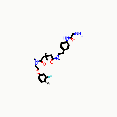 CC(=O)c1ccc(OCCN(C)C(=O)CC(C)(C)CC(=O)N(C)CCc2ccc(NC(=O)CN)cc2)cc1F